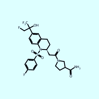 NC(=O)C1CCN(C(=O)C[C@@H]2CCc3cc(C(O)(CF)C(F)(F)F)ccc3N2S(=O)(=O)c2ccc(F)cc2)C1